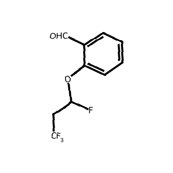 O=Cc1ccccc1OC(F)CC(F)(F)F